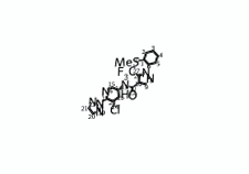 CSc1ccccc1-n1ncc(C(=O)Nc2cnc(-n3nccn3)c(Cl)c2)c1C(F)(F)F